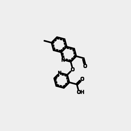 Cc1ccc2cc(C=O)c(Oc3ncccc3C(=O)O)nc2c1